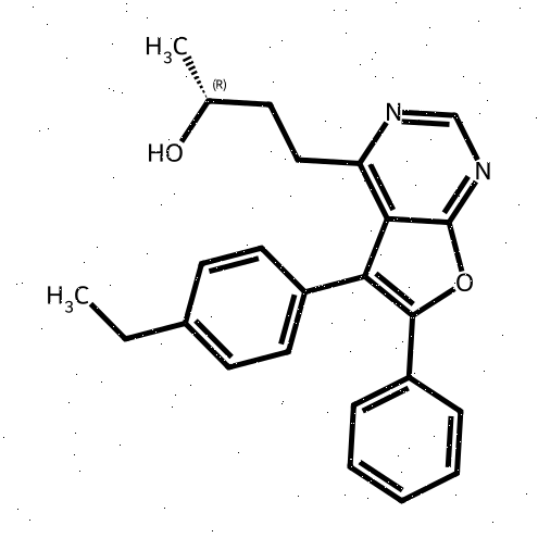 CCc1ccc(-c2c(-c3ccccc3)oc3ncnc(CC[C@@H](C)O)c23)cc1